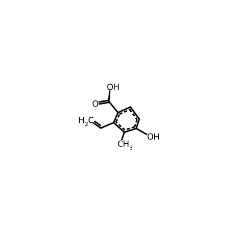 C=Cc1c(C(=O)O)ccc(O)c1C